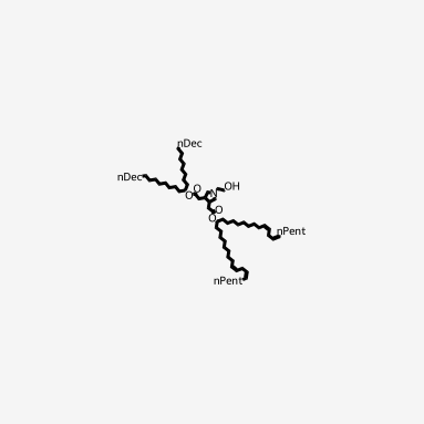 CCCCC/C=C\C/C=C\CCCCCCCCC(CCCCCCCC/C=C\C/C=C\CCCCC)OC(=O)CC1CN(CCO)CC1CC(=O)OC(CCCCCCCCCCCCCCCCCC)CCCCCCCCCCCCCCCCCC